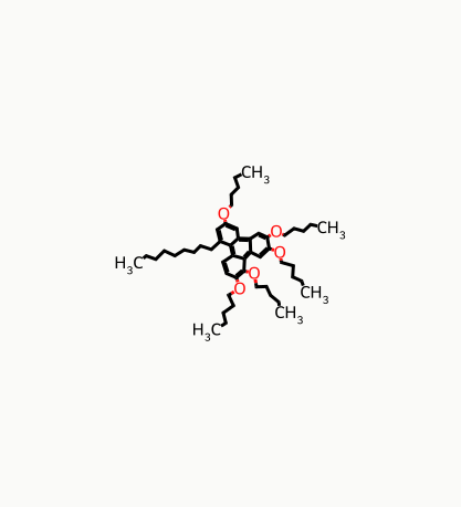 CCCCCCCCCc1cc(OCCCCC)cc2c3cc(OCCCCC)c(OCCCCC)cc3c3c(OCCCCC)c(OCCCCC)ccc3c12